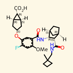 COc1cc(F)c(O[C@@H]2C[C@@H]3[C@H](C2)[C@H]3C(=O)O)cc1C(=O)N[C@@H]1[C@H]2CC[C@H](C2)[C@@H]1C(=O)NCC1(C)CCC1